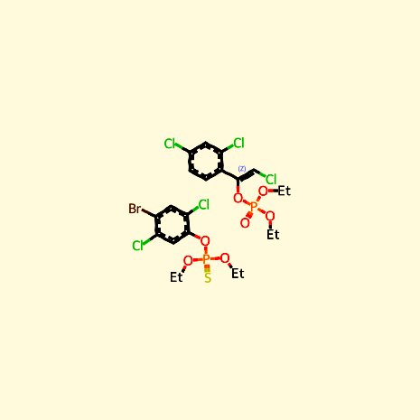 CCOP(=O)(OCC)O/C(=C\Cl)c1ccc(Cl)cc1Cl.CCOP(=S)(OCC)Oc1cc(Cl)c(Br)cc1Cl